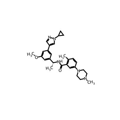 COc1cc(-c2cnn(C3CC3)c2)cc([C@@H](C)NC(=O)c2cc(N3CCN(C)CC3)ccc2C)c1